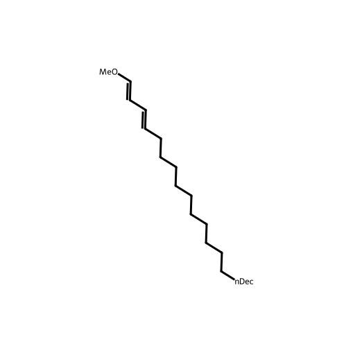 [CH2]OC=CC=CCCCCCCCCCCCCCCCCCCCC